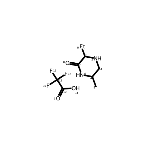 CCC1NCC(C)NC1=O.O=C(O)C(F)(F)F